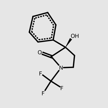 O=C1N(C(F)(F)F)CC[C@@]1(O)c1ccccc1